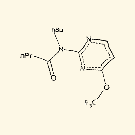 CCCCN(C(=O)CCC)c1nccc(OC(F)(F)F)n1